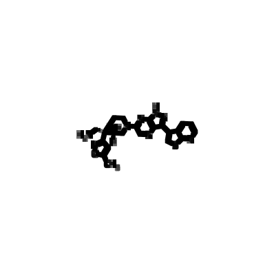 Cc1cc([C@@]2(CN)[C@@H]3CCN(c4cnc5c(-c6csc7ncccc67)n[nH]c5n4)C[C@@H]32)no1